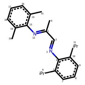 CC(C=Nc1c(C(C)C)cccc1C(C)C)=Nc1c(C)cccc1C